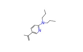 C=C(C)c1ccc(N(CCC)CCC)nc1